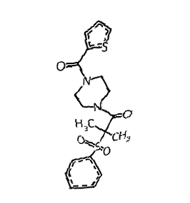 CC(C)(C(=O)N1CCN(C(=O)c2cccs2)CC1)S(=O)(=O)c1ccccc1